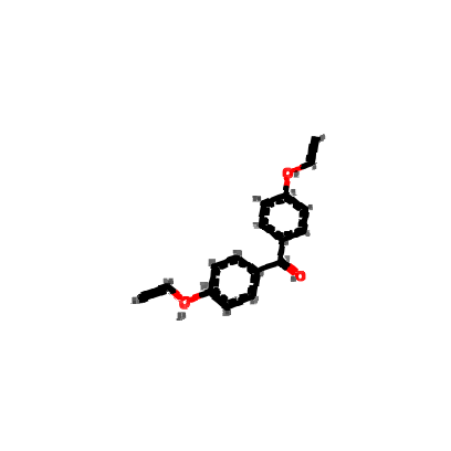 C=COc1ccc(C(=O)c2ccc(OC=C)cc2)cc1